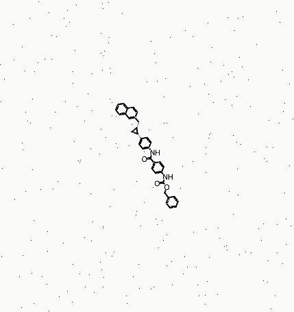 O=C(Nc1ccc(C(=O)Nc2ccc([C@@H]3C[C@@H]3Cc3ccc4ccccc4c3)cc2)cc1)OCc1ccccc1